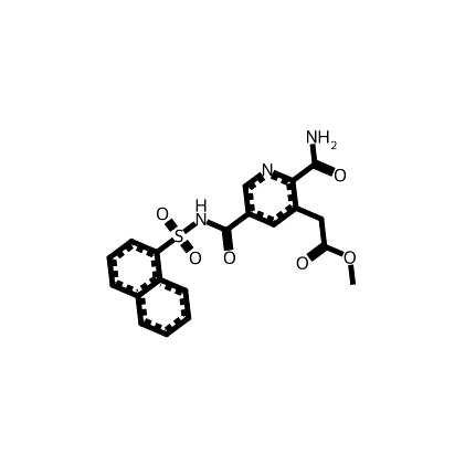 COC(=O)Cc1cc(C(=O)NS(=O)(=O)c2cccc3ccccc23)cnc1C(N)=O